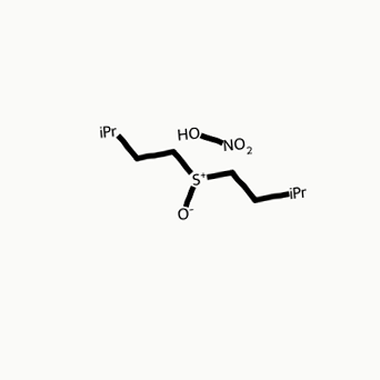 CC(C)CC[S+]([O-])CCC(C)C.O=[N+]([O-])O